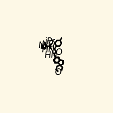 CC1CCC(C(NC(=O)c2ccnn2C(C)C)C(=O)Nc2ccc3c(c2)C=CC32CCOCC2)CC1